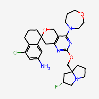 Nc1cc(Cl)c2c(c1)C1(CCC2)Cc2nc(OC[C@@]34CCCN3C[C@H](F)C4)nc(N3CCCOCC3)c2CO1